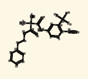 CC(O)(C(=O)Nc1cnc(C#N)c(C(F)(F)F)c1)C(=O)OCCc1ccncc1